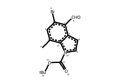 Cc1cc(Br)c(C=O)c2ccn(C(=O)OC(C)(C)C)c12